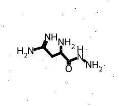 N=C(N)CC(N)C(=O)NN